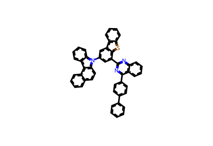 c1ccc(-c2ccc(-c3nc(-c4cc(-n5c6ccccc6c6c7ccccc7ccc65)cc5c4sc4ccccc45)nc4ccccc34)cc2)cc1